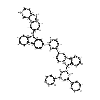 c1ccc(-c2nc(-c3ccccc3)nc(-n3c4ccccc4c4cc(-c5ccnc(-c6ccc7c8ccccc8n(-c8ccc9sc%10ccncc%10c9c8)c7c6)n5)ccc43)n2)cc1